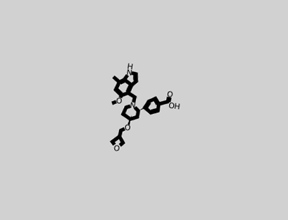 COc1cc(C)c2[nH]ccc2c1CN1CC[C@H](OCC2COC2)C[C@H]1c1ccc(C(=O)O)cc1